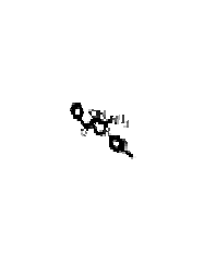 Cc1ccc(N2CC(C(=O)c3ccccc3)C(C#N)=C2N)cc1